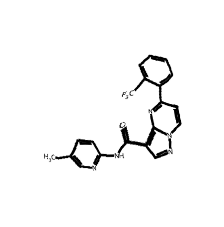 Cc1ccc(NC(=O)c2cnn3ccc(-c4ccccc4C(F)(F)F)nc23)nc1